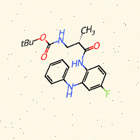 C[C@@H](CNC(=O)OC(C)(C)C)C(=O)Nc1ccc(F)cc1Nc1ccccc1